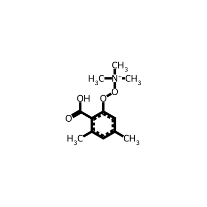 Cc1cc(C)c(C(=O)O)c(OO[N+](C)(C)C)c1